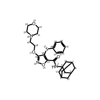 O=C(NC12CC3CC(CC(C3)C1)C2)c1onc(OCCN2CCOCC2)c1Sc1ccccc1